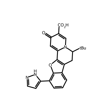 CC(C)(C)C1Cc2c(oc3c(-c4ccn[nH]4)cccc23)-c2cc(=O)c(C(=O)O)cn21